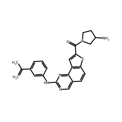 C=C(C)c1cccc(Nc2ncc3ccc4sc(C(=O)N5CCC(N)C5)cc4c3n2)c1